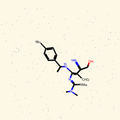 CN/C(=N\C(NC(C)c1ccc(C(C)(C)C)cc1)=C(/C=O)C(=N)CO)N(C)C